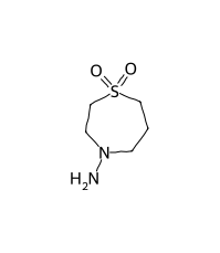 NN1CCCS(=O)(=O)CC1